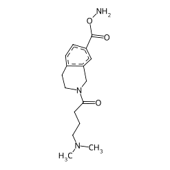 CN(C)CCCC(=O)N1CCc2ccc(C(=O)ON)cc2C1